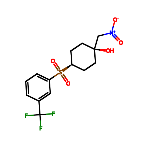 O=[N+]([O-])C[C@]1(O)CC[C@@H](S(=O)(=O)c2cccc(C(F)(F)F)c2)CC1